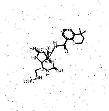 CC1(C)CCOc2c(C(=O)N[C@H]3CN4C(=N)N[C@@H](CNC=O)C5NC(=N)N[C@@]54C3(O)O)cccc21